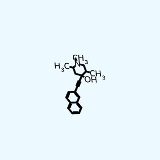 CC1CC(O)(C#Cc2ccc3ccccc3c2)C(C)CN1C